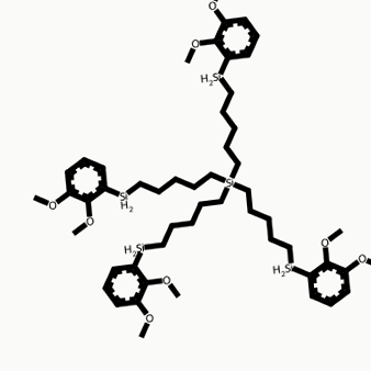 COc1cccc([SiH2]CCCCC[Si](CCCCC[SiH2]c2cccc(OC)c2OC)(CCCCC[SiH2]c2cccc(OC)c2OC)CCCCC[SiH2]c2cccc(OC)c2OC)c1OC